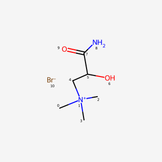 C[N+](C)(C)CC(O)C(N)=O.[Br-]